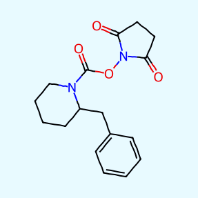 O=C1CCC(=O)N1OC(=O)N1CCCCC1Cc1ccccc1